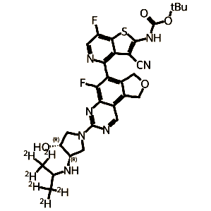 [2H]C([2H])([2H])C(N[C@@H]1CN(c2ncc3c4c(c(-c5ncc(F)c6sc(NC(=O)OC(C)(C)C)c(C#N)c56)c(F)c3n2)COC4)C[C@H]1O)C([2H])([2H])[2H]